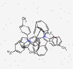 Cc1ccc(N(c2ccc(C)cc2)c2cc3ccc2-c2c4cc5c(-c6ccccc6C)c6cc-3ccc6c(-c3ccccc3C)c5c2c2ccc4cc2N(c2ccc(C)cc2)c2ccc(C)cc2)cc1